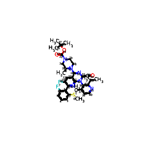 CSc1cccc(F)c1-c1nc2c(cc1F)C(N1CCN(C(=O)OC(C)(C)C)C[C@@H]1C)=NC(=C=O)N2c1c(C)ccnc1C(C)C